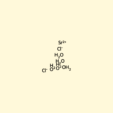 O.O.O.O.O.[Cl-].[Cl-].[Sr+2]